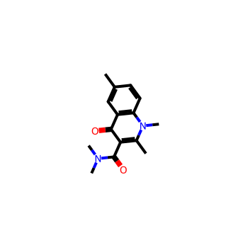 Cc1ccc2c(c1)c(=O)c(C(=O)N(C)C)c(C)n2C